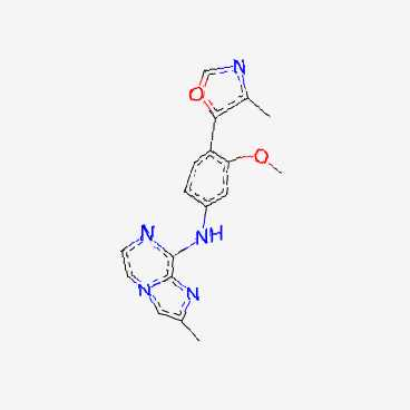 COc1cc(Nc2nccn3cc(C)nc23)ccc1-c1ocnc1C